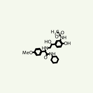 COc1ccc(C(NC[C@@H](O)c2ccc(O)c(NS(C)(=O)=O)c2)C(=O)NC2CCCCC2)cc1